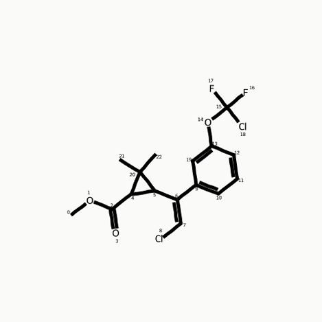 COC(=O)C1C(C(=CCl)c2cccc(OC(F)(F)Cl)c2)C1(C)C